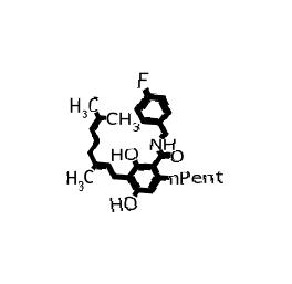 CCCCCc1cc(O)c(C/C=C(\C)CCC=C(C)C)c(O)c1C(=O)NCc1ccc(F)cc1